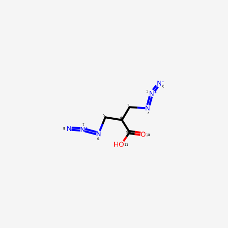 [N-]=[N+]=NCC(CN=[N+]=[N-])C(=O)O